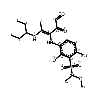 CCC(CC)N/C(C)=C(\Nc1ccc(Cl)c(S(=O)(=O)N(C)OC)c1O)C(=O)C=O